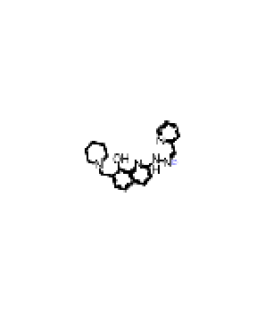 Oc1c(CN2CCCCC2)ccc2ccc(N/N=C\c3ccccn3)nc12